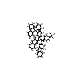 CC(C)(C)c1ccc(N2B3c4cccc5c4N(c4ccccc4C5(c4ccccc4)c4ccccc4)c4cc5ccccc5c(c43)-c3c2ccc2c3oc3ccccc32)cc1